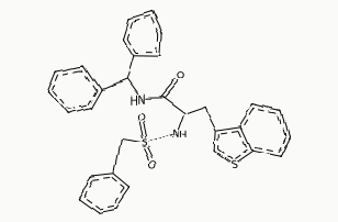 O=C(NC(c1ccccc1)c1ccccc1)C(Cc1csc2ccccc12)NS(=O)(=O)Cc1ccccc1